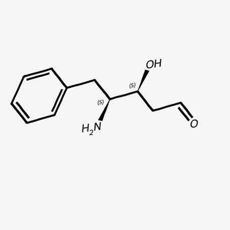 N[C@@H](Cc1ccccc1)[C@@H](O)CC=O